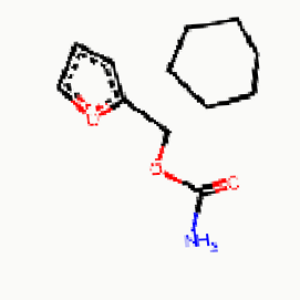 C1CCCCC1.NC(=O)OCc1ccco1